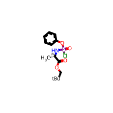 C[C@H](NP(=O)(Cl)Oc1ccccc1)C(=O)OCC(C)(C)C